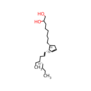 CCCC[C@H](CC)CC=C[C@H]1C=CC[C@@H]1CCCCCCC(O)CO